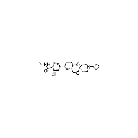 CCNC(=O)c1ccc(-c2ccc3c(c2)COC2(CCN(C4CCC4)CC2)O3)cc1Cl